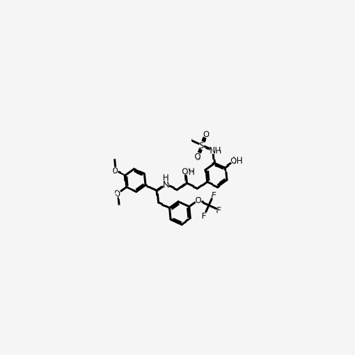 COc1ccc(C(Cc2cccc(OC(F)(F)F)c2)NCC(O)Cc2ccc(O)c(NS(C)(=O)=O)c2)cc1OC